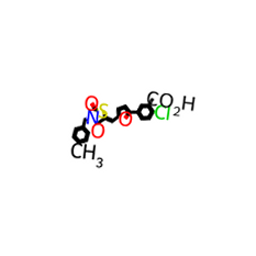 Cc1ccc(CN2C(=O)S/C(=C\c3ccc(-c4ccc(Cl)c(C(=O)O)c4)o3)C2=O)cc1